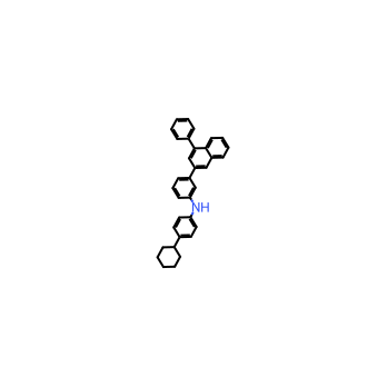 c1ccc(-c2cc(-c3cccc(Nc4ccc(C5CCCCC5)cc4)c3)cc3ccccc23)cc1